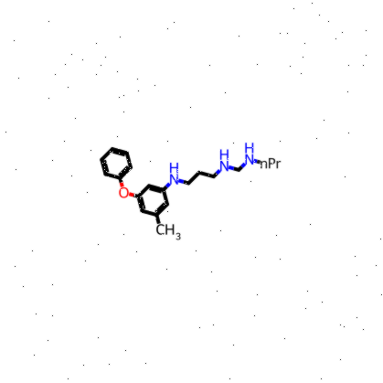 CCCNCNCCCNc1cc(C)cc(Oc2ccccc2)c1